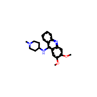 COc1cc2nc3ccccc3c(NC3CCN(C)CC3)c2cc1OC